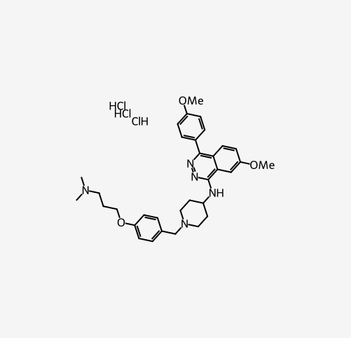 COc1ccc(-c2nnc(NC3CCN(Cc4ccc(OCCCN(C)C)cc4)CC3)c3cc(OC)ccc23)cc1.Cl.Cl.Cl